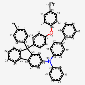 Cc1ccc(C2(c3ccc(Oc4ccc(C(C)C)cc4)cc3)c3ccccc3-c3ccc(N(c4ccccc4)c4ccc(-c5ccccc5)cc4)cc32)cc1